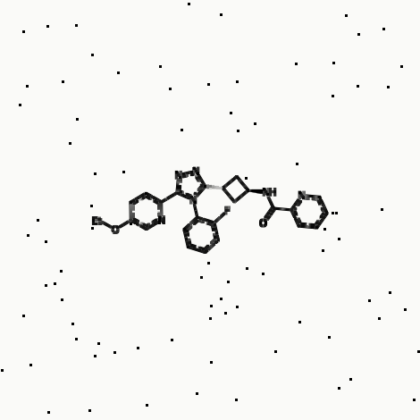 CCOc1ccc(-c2nnc([C@H]3C[C@H](NC(=O)c4ccccn4)C3)n2-c2ccccc2F)nc1